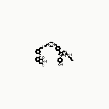 CCCCNc1ncc2c(-c3ccc(CN4CCN(CCOCCc5cccc(Oc6cccc7c6C(=O)NC(=O)C7)c5)CC4)cc3)cn([C@H]3CC[C@H](O)CC3)c2n1